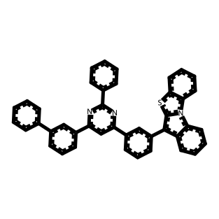 c1ccc(-c2cccc(-c3cc(-c4cccc(-c5c6ccccc6n6c5sc5ccccc56)c4)nc(-c4ccccc4)n3)c2)cc1